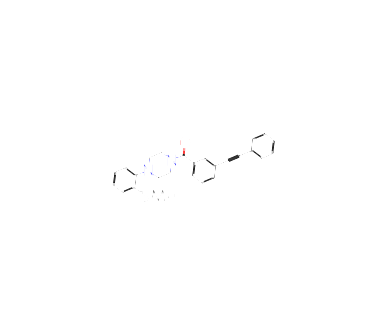 CSc1ccccc1N1CCN(C(=O)c2cccc(C#Cc3ccccc3)c2)CC1